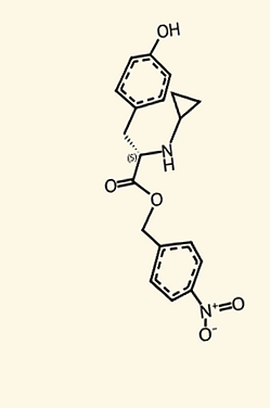 O=C(OCc1ccc([N+](=O)[O-])cc1)[C@H](Cc1ccc(O)cc1)NC1CC1